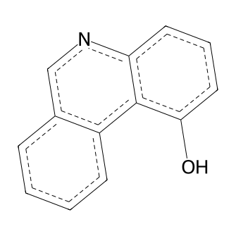 Oc1cccc2ncc3ccccc3c12